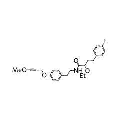 CCOC(CCc1ccc(F)cc1)C(=O)NCCc1ccc(OCC#COC)cc1